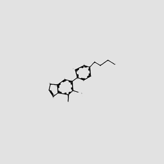 CCCCc1ccc(-c2cc3c(c(C)c2Br)C=CC3)cc1